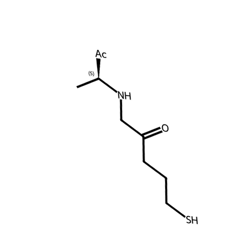 CC(=O)[C@H](C)NCC(=O)CCCS